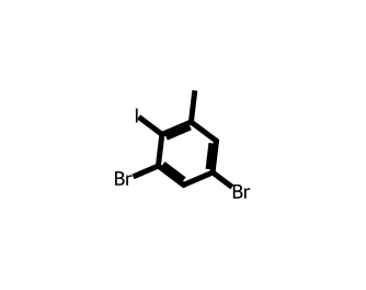 Cc1cc(Br)cc(Br)c1I